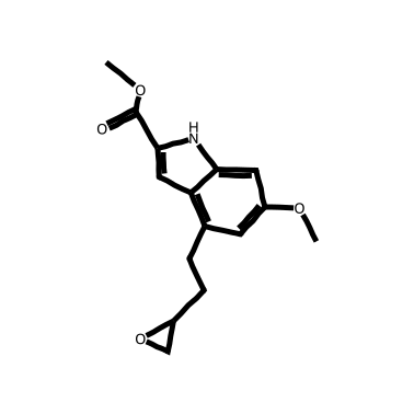 COC(=O)c1cc2c(CCC3CO3)cc(OC)cc2[nH]1